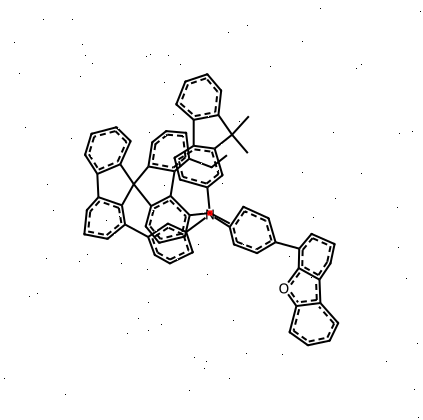 CCc1cccc2c1-c1c(CC)cccc1C21c2ccccc2-c2cccc(-c3cccc(N(c4ccc(-c5cccc6c5oc5ccccc56)cc4)c4ccc5c(c4)C(C)(C)c4ccccc4-5)c3)c21